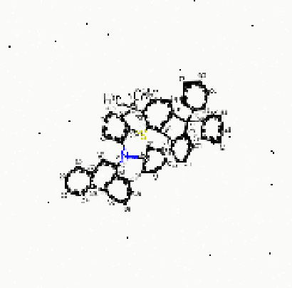 C[Si]1(C)c2cccc(N(c3ccccc3)c3cc4ccccc4c4ccccc34)c2Sc2c1ccc1c2-c2ccccc2C1(c1ccccc1)c1ccccc1